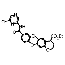 CCOC(=O)C1CCOc2cc(Oc3ccc(C(=O)Nc4cncc(Cl)n4)cc3)c(Cl)cc21